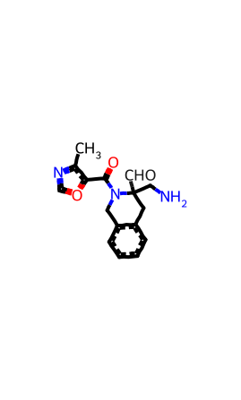 Cc1ncoc1C(=O)N1Cc2ccccc2CC1(C=O)CN